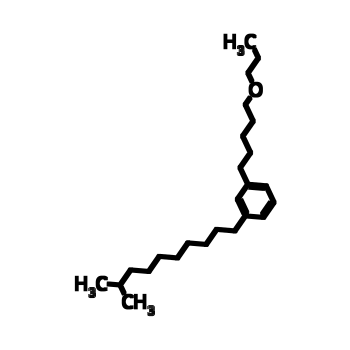 CCCOCCCCCc1cccc(CCCCCCCCC(C)C)c1